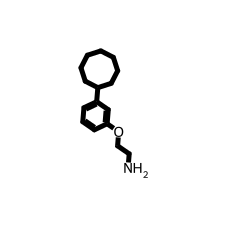 NCCOc1cccc(C2CCCCCCC2)c1